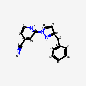 N#Cc1ccnc(-n2ccc(Cc3ccccc3)n2)c1